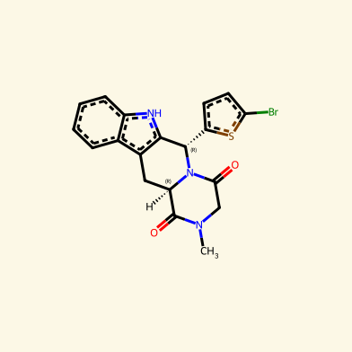 CN1CC(=O)N2[C@@H](c3ccc(Br)s3)c3[nH]c4ccccc4c3C[C@@H]2C1=O